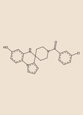 O=C(c1cccc(Cl)c1)N1CCC2(CC1)Nc1cc(O)ccc1-n1cccc12